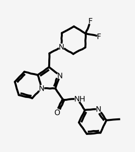 Cc1cccc(NC(=O)c2nc(CN3CCC(F)(F)CC3)c3ccccn23)n1